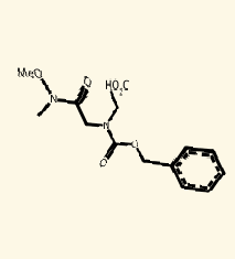 CON(C)C(=O)CN(CC(=O)O)C(=O)OCc1ccccc1